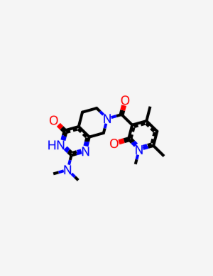 Cc1cc(C)n(C)c(=O)c1C(=O)N1CCc2c(nc(N(C)C)[nH]c2=O)C1